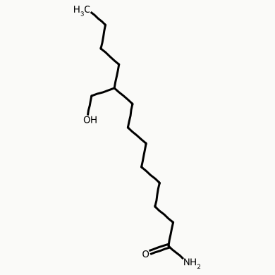 CCCCC(CO)CCCCCCCC(N)=O